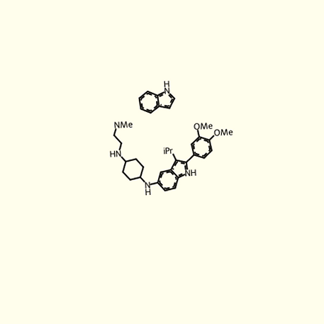 CNCCNC1CCC(Nc2ccc3[nH]c(-c4ccc(OC)c(OC)c4)c(C(C)C)c3c2)CC1.c1ccc2[nH]ccc2c1